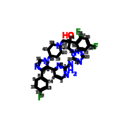 Nc1nccc(-c2c(-c3ccc(F)cc3)ncn2C2CCN(C[C@@](O)(Cn3cncn3)c3ccc(F)cc3F)CC2)n1